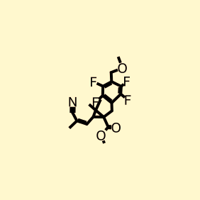 COCc1c(F)c(F)c(CC2(C(=O)OC)C(C=C(C)C#N)C2(C)C)c(F)c1F